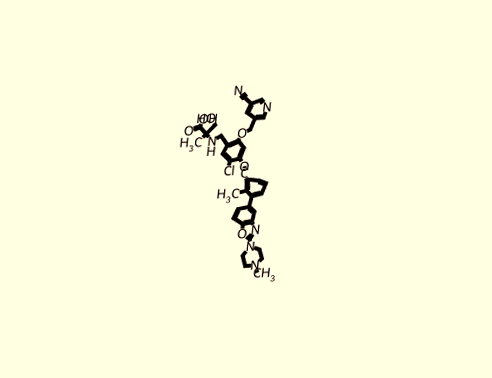 Cc1c(COc2cc(OCc3cncc(C#N)c3)c(CNC(C)(CO)C(=O)O)cc2Cl)cccc1-c1ccc2oc(N3CCN(C)CC3)nc2c1